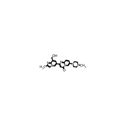 Cc1cn2cc(-c3cc(=O)n4cc(N5CCN(C)CC5)ccc4n3)cc(CO)c2n1